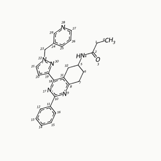 CCC(=O)NC1CCc2nc(-c3ccccc3)nc(-c3ccn(Cc4cccnc4)n3)c2C1